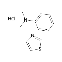 CN(C)c1ccccc1.Cl.c1cscn1